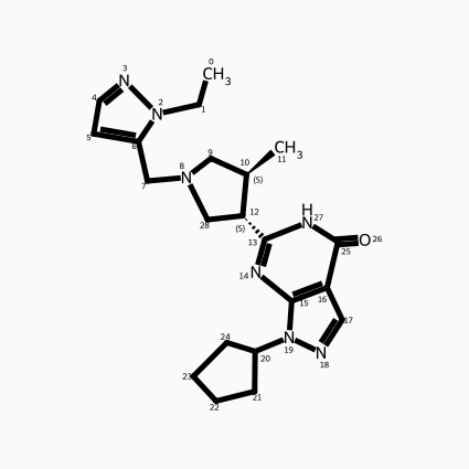 CCn1nccc1CN1C[C@@H](C)[C@H](c2nc3c(cnn3C3CCCC3)c(=O)[nH]2)C1